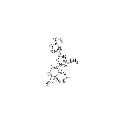 Cc1noc([C@H]2CN(c3ccc(C#N)c4nccnc34)C[C@@H](C)O2)n1